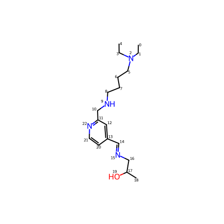 CCN(CC)CCCCNCc1cc(/C=N/CC(C)O)ccn1